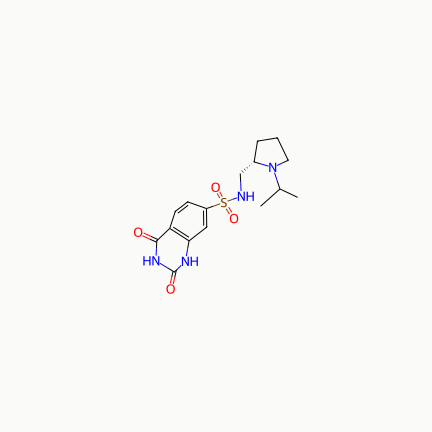 CC(C)N1CCC[C@H]1CNS(=O)(=O)c1ccc2c(=O)[nH]c(=O)[nH]c2c1